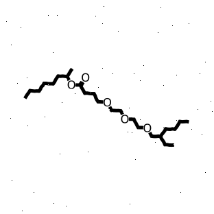 CCCCCCC(C)OC(=O)CCCOCCOCCOCC(CC)CCCC